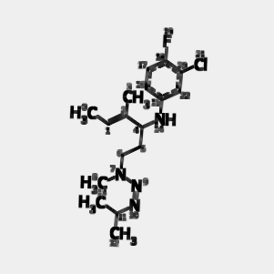 C/C=C(\C)C(CCN(C)/N=N\C(C)C)Nc1ccc(F)c(Cl)c1